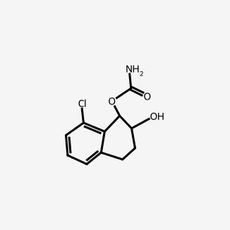 NC(=O)OC1c2c(Cl)cccc2CCC1O